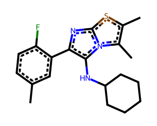 Cc1ccc(F)c(-c2nc3sc(C)c(C)n3c2NC2CCCCC2)c1